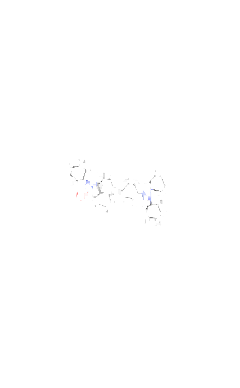 O=C1c2cccc3c(-c4ccc(N(c5ccccc5)c5ccccc5)cc4)ccc(c23)N1c1ccccc1